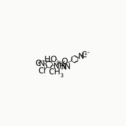 [C-]#[N+]c1ccc(-c2nnc([C@@H](CO)Nc3ccc([N+]#[C-])c(Cl)c3C)o2)cc1